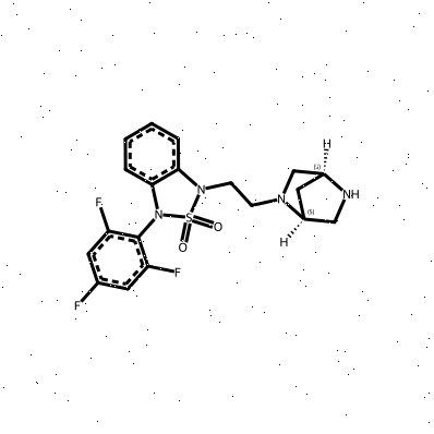 O=S1(=O)N(CCN2C[C@@H]3C[C@H]2CN3)c2ccccc2N1c1c(F)cc(F)cc1F